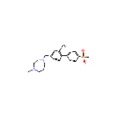 CN1CCCN(Cc2ccc(-c3ccc(S(C)(=O)=O)cc3)c(C#N)c2)CC1